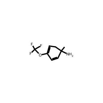 CC1(N)C=CC(OC(F)(F)F)=CC1